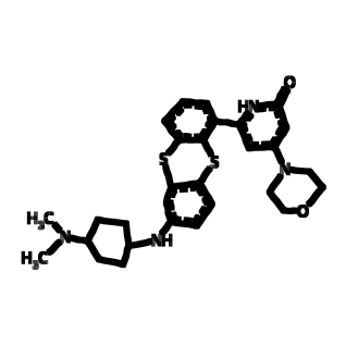 CN(C)C1CCC(Nc2ccc3c(c2)Sc2cccc(-c4cc(N5CCOCC5)cc(=O)[nH]4)c2S3)CC1